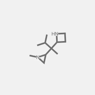 CC(C)C(C)(C1CCN1)C1CN1C